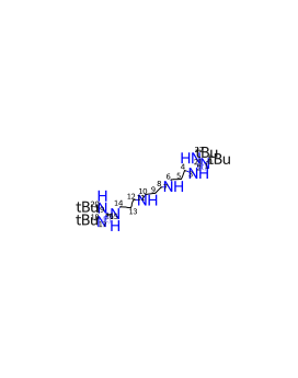 CC(C)(C)/N=C(/NCCCNCCCNCCCN/C(=N/C(C)(C)C)NC(C)(C)C)NC(C)(C)C